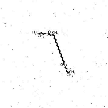 CC(C)CCCOC(=O)CCCCCCCCCCCCCCCC(C)CC(=O)OCCCC(C)C